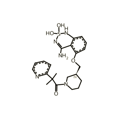 CC(C)(C(=O)N1CCC[C@H](COc2cccc3c2C(N)=NS(O)(O)N3)C1)c1ccccn1